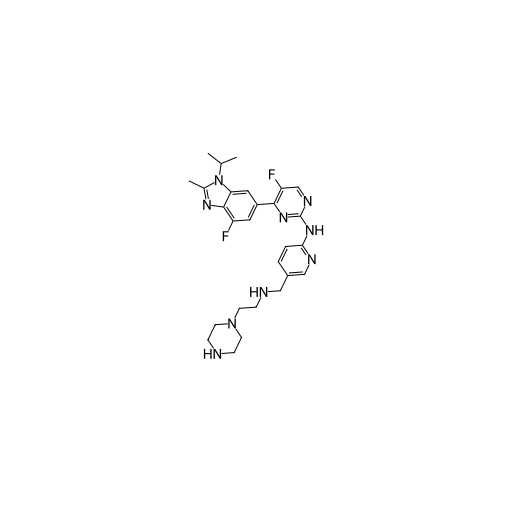 Cc1nc2c(F)cc(-c3nc(Nc4ccc(CNCCN5CCNCC5)cn4)ncc3F)cc2n1C(C)C